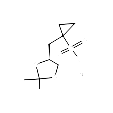 CC1(C)OC[C@H](CC2(S(=O)(=O)[O-])CC2)O1.[Na+]